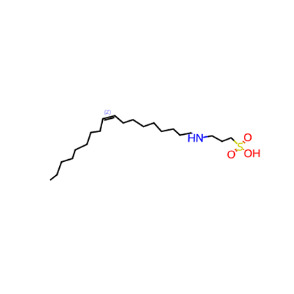 CCCCCCCC/C=C\CCCCCCCCNCCCS(=O)(=O)O